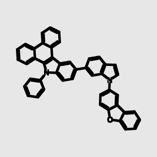 c1ccc(-n2c3ccc(-c4ccc5ccn(-c6ccc7oc8ccccc8c7c6)c5c4)cc3c3c4ccccc4c4ccccc4c32)cc1